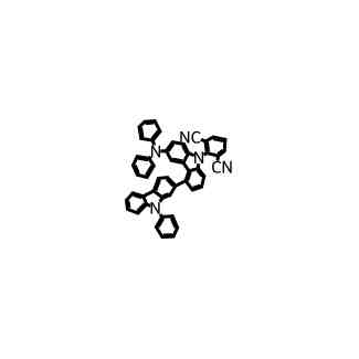 N#Cc1cccc(C#N)c1-n1c2ccc(N(c3ccccc3)c3ccccc3)cc2c2c(-c3ccc4c5ccccc5n(-c5ccccc5)c4c3)cccc21